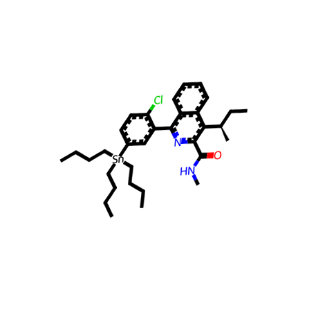 CCC[CH2][Sn]([CH2]CCC)([CH2]CCC)[c]1ccc(Cl)c(-c2nc(C(=O)NC)c([C@H](C)CC)c3ccccc23)c1